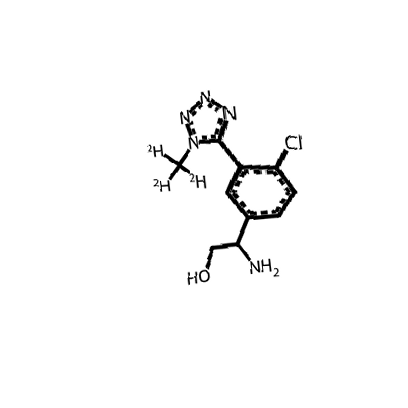 [2H]C([2H])([2H])n1nnnc1-c1cc(C(N)CO)ccc1Cl